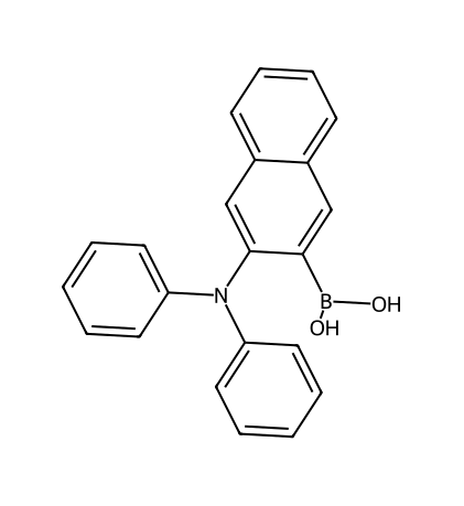 OB(O)c1cc2ccccc2cc1N(c1ccccc1)c1ccccc1